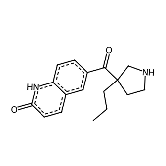 CCCC1(C(=O)c2ccc3[nH]c(=O)ccc3c2)CCNC1